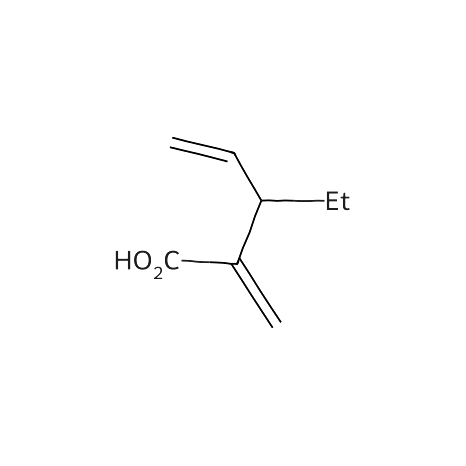 C=CC(CC)C(=C)C(=O)O